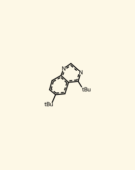 CC(C)(C)c1ccc2ncnc(C(C)(C)C)c2c1